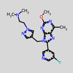 COc1nc(C)c2nc(-c3cncc(F)c3)n(Cc3cnn(CCN(C)C)c3)c2n1